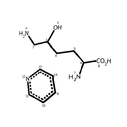 NCC(O)CCC(N)C(=O)O.c1ccncc1